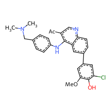 COc1cc(-c2ccc3ncc(C(C)=O)c(Nc4ccc(CN(C)C)cc4)c3c2)cc(Cl)c1O